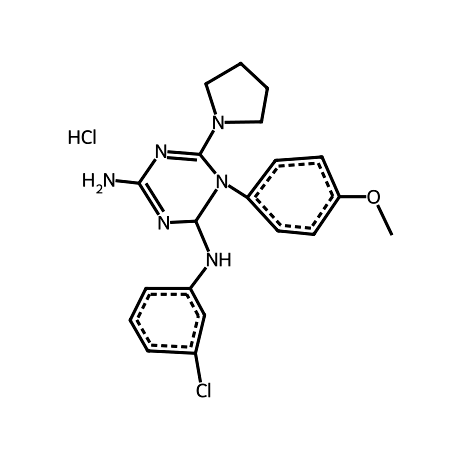 COc1ccc(N2C(N3CCCC3)=NC(N)=NC2Nc2cccc(Cl)c2)cc1.Cl